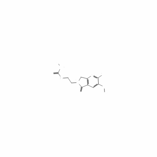 CCCOc1cc2c(nc1C)CN(CCNC(=O)OC(C)(C)C)C2=O